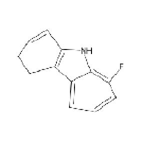 Fc1cccc2c3c([nH]c12)C=CCC3